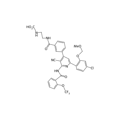 COCOc1cc(Cl)ccc1-c1cc(-c2cccc(C(=O)NCCNC(=O)O)c2)c(C#N)c(NC(=O)c2ccccc2OC(F)(F)F)n1